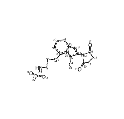 CS(=O)(=O)NCCSc1cccc2nc(N3C(=O)CCC3=O)c(Cl)n12